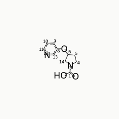 O=C(O)N1CC[C@H](Oc2cccnc2)C1